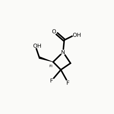 O=C(O)N1CC(F)(F)[C@H]1CO